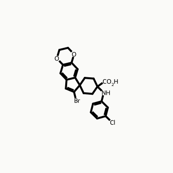 O=C(O)C1(Nc2cccc(Cl)c2)CCC2(CC1)C(Br)=Cc1cc3c(cc12)OCCO3